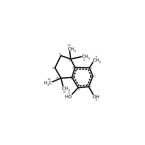 Cc1cc(O)c(O)c2c1C(C)(C)CCC2(C)C